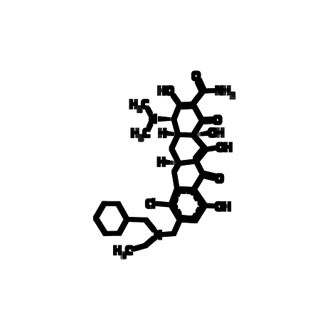 CCN(Cc1cc(O)c2c(c1Cl)C[C@H]1C[C@H]3[C@H](N(C)C)C(O)=C(C(N)=O)C(=O)[C@@]3(O)C(O)=C1C2=O)CC1CCCCC1